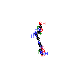 Cc1c(NC(=O)c2ccc(C(C)(C)O)cc2F)cc(F)cc1-c1ncnc2[nH]c(-c3ccc(CCN4CCC5(CC4)CCN(C(=O)c4ccc(F)c(N6CCC(=O)NC6=O)c4)CC5)cc3)cc12